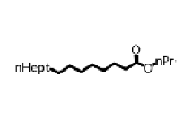 CC[CH]OC(=O)CCCCCCCCCCCCCC